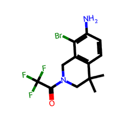 CC1(C)CN(C(=O)C(F)(F)F)Cc2c1ccc(N)c2Br